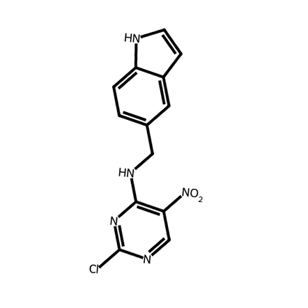 O=[N+]([O-])c1cnc(Cl)nc1NCc1ccc2[nH]ccc2c1